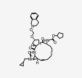 O=C(N[C@H]1CCCCC/C=C\[C@@H]2C[C@@]2(C(=O)NCC2CC2)NC(=O)[C@@H]2C[C@@H](OCON3CCc4ccccc4C3)CN2C1=O)OC1CCCC1